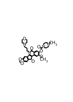 COc1cc2c3c(n(CCCN4CCOCC4)c(=O)c2cc1OC(=O)N1CCN(C)CC1)-c1cc2c(cc1C3=O)OCO2